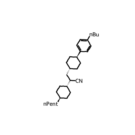 CCCCC[C@H]1CC[C@H](C(C#N)C[C@H]2CC[C@H](c3ccc(CCCC)cc3)CC2)CC1